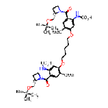 COc1cc(C(=O)N2CC[C@H]2CO[Si](C)(C)C(C)(C)C)c(NC(=O)O)cc1OCCCCCOc1cc(NC(=O)O)c(C(=O)N2CC[C@H]2CO[Si](C)(C)C(C)(C)C)cc1OC